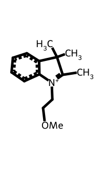 COCC[N+]1=C(C)C(C)(C)c2ccccc21